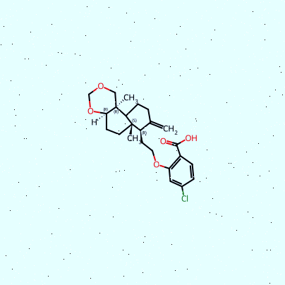 C=C1CCC2[C@]3(C)COCO[C@@H]3CC[C@@]2(C)[C@@H]1CCOc1cc(Cl)ccc1C(=O)O